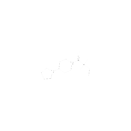 CCC(C)(C)C(=O)N1CCC(N2CCCC2)CC1